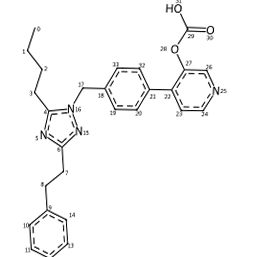 CCCCc1nc(CCc2ccccc2)nn1Cc1ccc(-c2ccncc2OC(=O)O)cc1